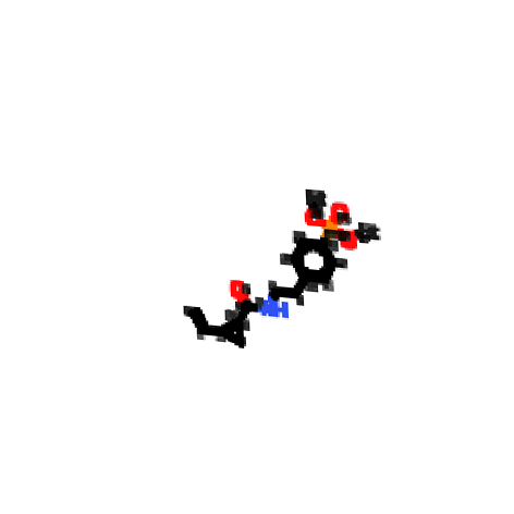 C=CC1C[C@@H]1C(=O)NCCc1ccc(P(=O)(OCC)OCC)cc1